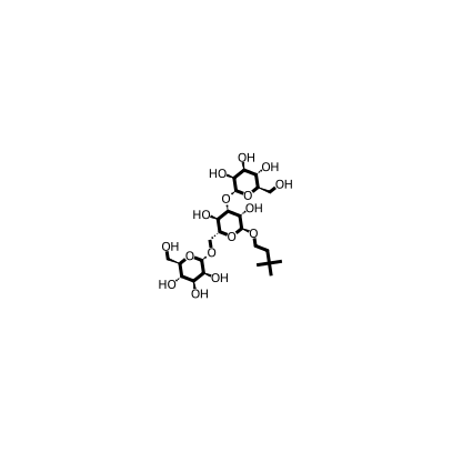 CC(C)(C)CCO[C@H]1O[C@H](CO[C@H]2O[C@H](CO)[C@@H](O)[C@H](O)[C@@H]2O)[C@@H](O)[C@H](O[C@H]2O[C@H](CO)[C@@H](O)[C@H](O)[C@@H]2O)[C@@H]1O